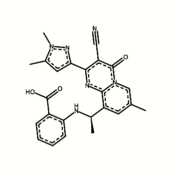 Cc1cc([C@@H](C)Nc2ccccc2C(=O)O)c2nc(-c3cc(C)n(C)n3)c(C#N)c(=O)n2c1